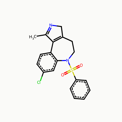 CC1=NCC2=C1c1ccc(Cl)cc1N(S(=O)(=O)c1ccccc1)CC2